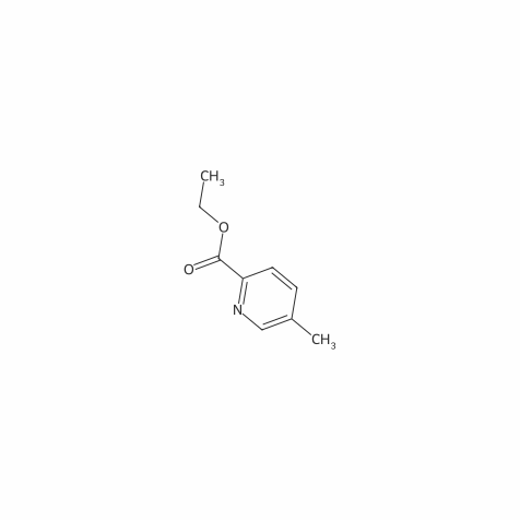 CCOC(=O)c1ccc(C)cn1